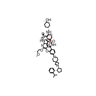 CO[C@H](C)COc1nc2[nH]cc(F)c2cc1Oc1cc(N2CCC3(CC2)CN([C@@H]2CCC[C@@H]2c2ccccc2C(C)C)C3)ccc1C(=O)NS(=O)(=O)c1cnc(NC[C@H]2CC[C@](C)(O)CC2)c([N+](=O)[O-])c1